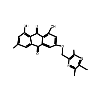 Cc1cc(O)c2c(c1)C(=O)c1cc(OCc3nc(C)c(C)nc3C)cc(O)c1C2=O